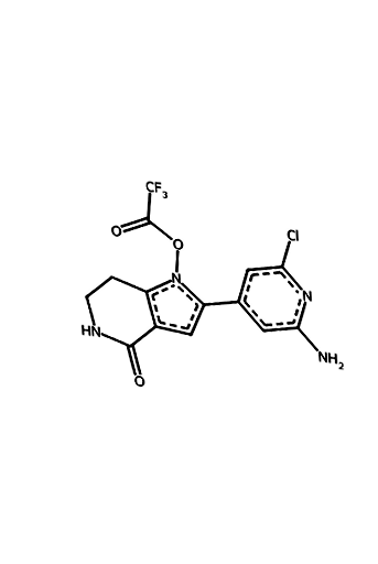 Nc1cc(-c2cc3c(n2OC(=O)C(F)(F)F)CCNC3=O)cc(Cl)n1